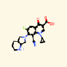 N#Cc1c(N2CC3CCCNC3C2)c(F)cc2c(=O)c(C(=O)O)cn(C3CC3)c12